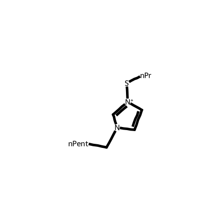 CCCCCCn1cc[n+](SCCC)c1